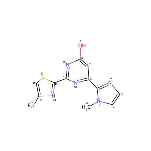 Cn1ccnc1-c1cc(O)nc(-c2nc(C(F)(F)F)cs2)n1